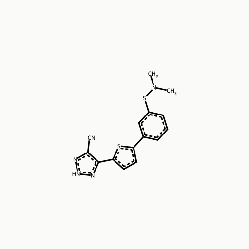 CN(C)Sc1cccc(-c2ccc(-c3n[nH]nc3C#N)s2)c1